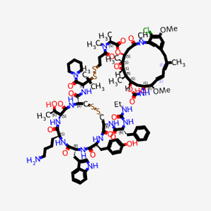 CCNC(=O)N[C@H](Cc1ccccc1)C(=O)N[C@H]1CSSC[C@@H](C(=O)N[C@H](C(=O)N2CCCCC2)C(C)(C)SSCCC(=O)N(C)[C@@H](C)C(=O)O[C@H]2CC(=O)N(C)c3cc(cc(OC)c3Cl)C/C(C)=C/C=C/[C@@H](OC)[C@@]3(O)C[C@H](OC(=O)N3)[C@@H](C)[C@@H]3O[C@@]23C)NC(=O)[C@H]([C@@H](C)O)NC(=O)[C@H](CCCCN)NC(=O)[C@@H](Cc2c[nH]c3ccccc23)NC(=O)[C@H](Cc2ccc(O)cc2)NC1=O